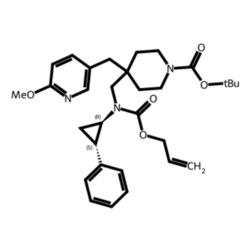 C=CCOC(=O)N(CC1(Cc2ccc(OC)nc2)CCN(C(=O)OC(C)(C)C)CC1)[C@@H]1C[C@H]1c1ccccc1